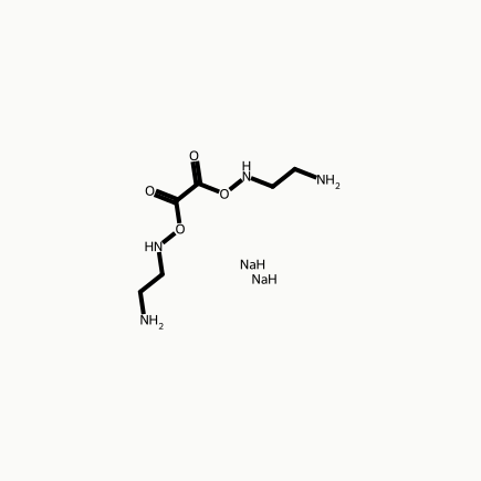 NCCNOC(=O)C(=O)ONCCN.[NaH].[NaH]